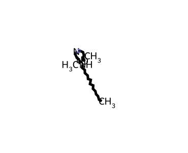 CCCCCCCCCCCCCCNC(C)N1CC/N=C\CC(C)C1=O